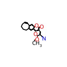 CCOC(=O)C(C#N)=Cc1cc2cc3c(cc2oc1=O)C#CCCCC3